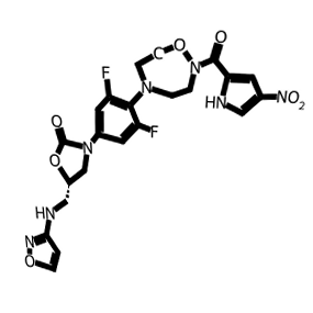 O=C(c1cc([N+](=O)[O-])c[nH]1)N1CCN(c2c(F)cc(N3C[C@H](CNc4ccon4)OC3=O)cc2F)CCO1